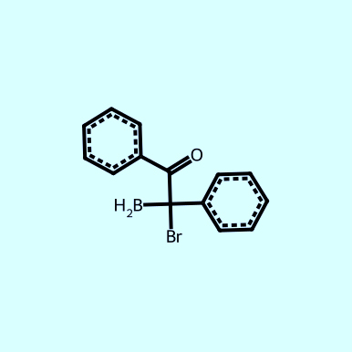 BC(Br)(C(=O)c1ccccc1)c1ccccc1